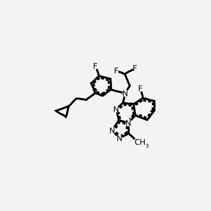 Cc1nnc2nc(N(CC(F)F)c3cc(F)cc(CCC4CC4)c3)c3c(F)cccc3n12